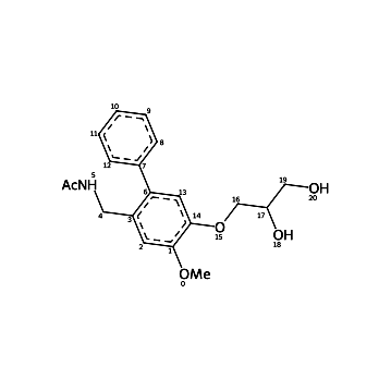 COc1cc(CNC(C)=O)c(-c2ccccc2)cc1OCC(O)CO